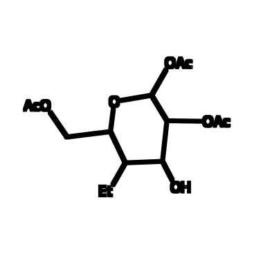 CCC1C(COC(C)=O)OC(OC(C)=O)C(OC(C)=O)C1O